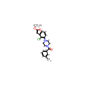 O=C(O)Oc1cc2c(Cl)c(N3CCN(C(=O)c4cccc(C(F)(F)F)c4)CC3)ccc2o1